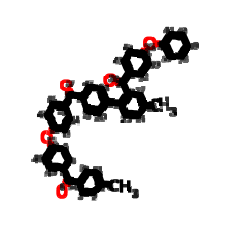 Cc1ccc(C(=O)c2ccc(Oc3ccc(C(=O)c4ccc(-c5ccc(C)cc5C(=O)c5ccc(Oc6ccccc6)cc5)cc4)cc3)cc2)cc1